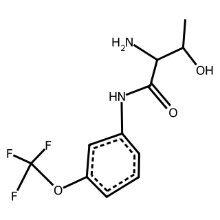 CC(O)C(N)C(=O)Nc1cccc(OC(F)(F)F)c1